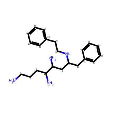 NCCCC(N)C(N)CC(Cc1ccccc1)NCCc1ccccc1